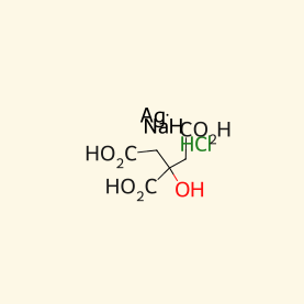 Cl.O=C(O)CC(O)(CC(=O)O)C(=O)O.[Ag].[NaH]